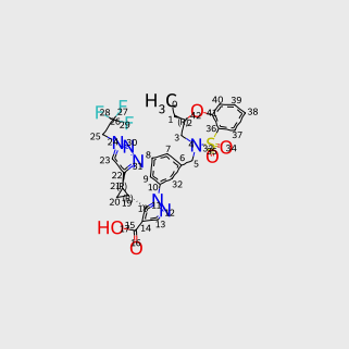 CC[C@@H]1CN(Cc2cccc(-n3ncc(C(=O)O)c3[C@@H]3C[C@H]3c3cn(CC(F)(F)F)nn3)c2)S(=O)(=O)c2ccccc2O1